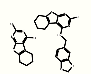 Clc1nc(Cl)c2c3c(sc2n1)CCCC3.Clc1nc(NCc2ccc3c(c2)OCO3)c2c3c(sc2n1)CCCC3